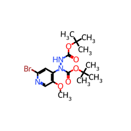 COc1cnc(Br)cc1N(NC(=O)OC(C)(C)C)C(=O)OC(C)(C)C